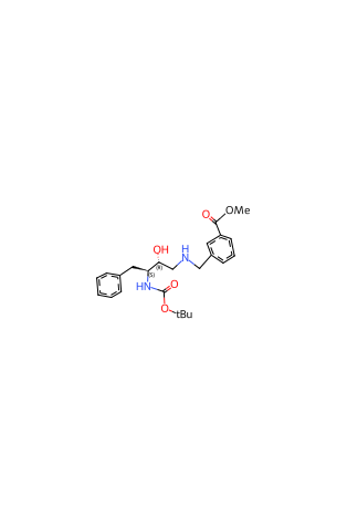 COC(=O)c1cccc(CNC[C@@H](O)[C@H](Cc2ccccc2)NC(=O)OC(C)(C)C)c1